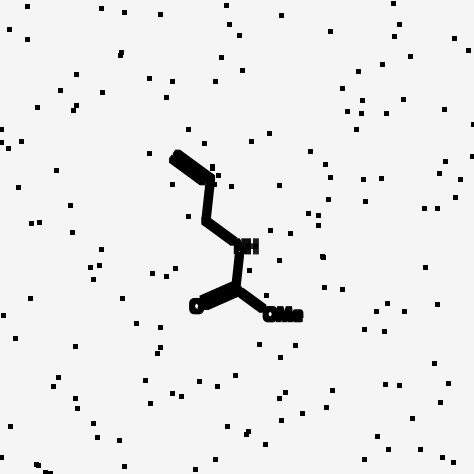 [CH2]OC(=O)NCC=C